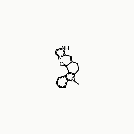 Cn1c2c(c3ccccc31)C(=O)/C(=C\c1ncc[nH]1)CC2